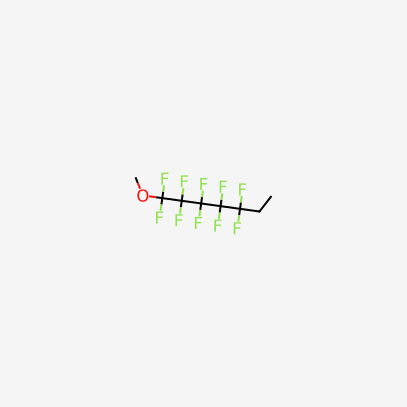 CCC(F)(F)C(F)(F)C(F)(F)C(F)(F)C(F)(F)OC